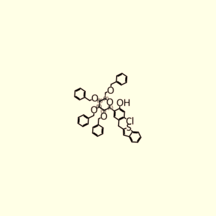 Oc1cc(Cl)c(Cc2cc3ccccc3s2)cc1[C@@H]1O[C@H](COCc2ccccc2)[C@@H](OCc2ccccc2)[C@H](OCc2ccccc2)[C@H]1OCc1ccccc1